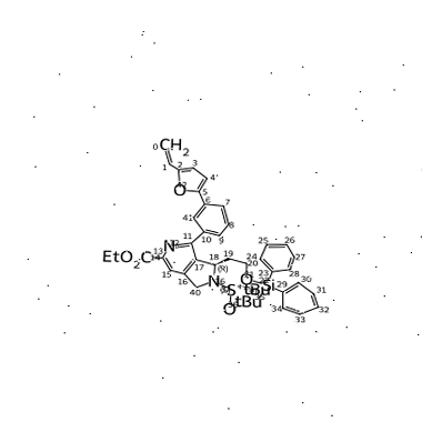 C=Cc1ccc(-c2cccc(-c3nc(C(=O)OCC)cc4c3[C@@H](CCO[Si](c3ccccc3)(c3ccccc3)C(C)(C)C)N([S@+]([O-])C(C)(C)C)C4)c2)o1